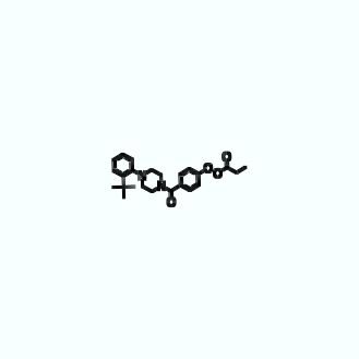 CCC(=O)OOc1ccc(C(=O)N2CCN(c3ccccc3C(C)(C)C)CC2)cc1